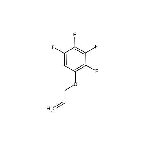 C=CCOc1[c]c(F)c(F)c(F)c1F